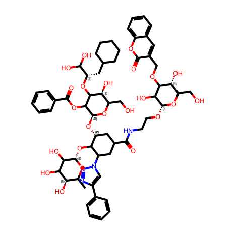 CC1O[C@@H](OC2C(n3cc(-c4ccccc4)nn3)CC(C(=O)NCCO[C@H]3OC(CO)[C@@H](O)C(OCc4cc5ccccc5oc4=O)C3O)C[C@H]2O[C@@H]2OC(CO)[C@H](O)C(O[C@@H](CC3CCCCC3)C(O)O)C2OC(=O)c2ccccc2)C(O)C(O)[C@@H]1O